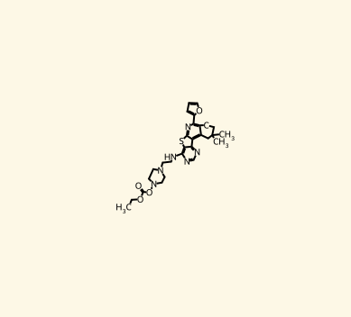 CCOC(=O)ON1CCN(CCNc2ncnc3c2sc2nc(-c4ccco4)c4c(c23)CC(C)(C)CC4)CC1